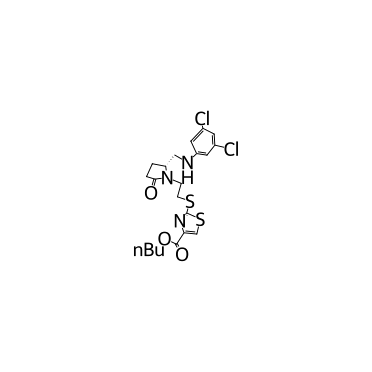 CCCCOC(=O)c1csc(SCCN2C(=O)CC[C@@H]2CNc2cc(Cl)cc(Cl)c2)n1